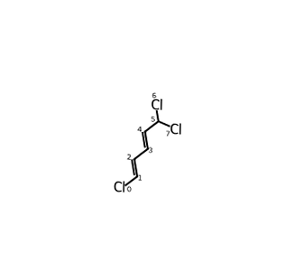 ClC=CC=CC(Cl)Cl